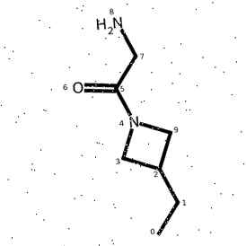 CCC1CN(C(=O)CN)C1